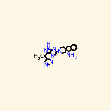 C=C(c1cncnc1)c1n[nH]c2nc(N3CCC4(CC3)Cc3ccccc3[C@H]4N)cnc12